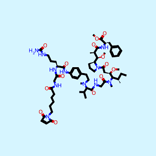 CC[C@H](C)C([C@@H](CC(=O)N1CCC[C@H]1[C@H](OC)[C@@H](C)C(=O)N[C@@H](Cc1ccccc1)C(=O)OC)OC)N(C)C(=O)CNC(=O)C(C(C)C)N(C)CCc1ccc(NC(=O)[C@H](CCCNC(N)=O)NC(=O)CNC(=O)CCCCCN2C(=O)C=CC2=O)cc1